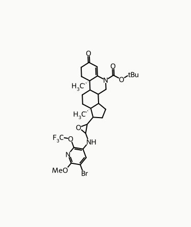 COc1nc(OC(F)(F)F)c(NC2OC2C2CCC3C4CN(C(=O)OC(C)(C)C)C5=CC(=O)CC[C@]5(C)C4CC[C@@]32C)cc1Br